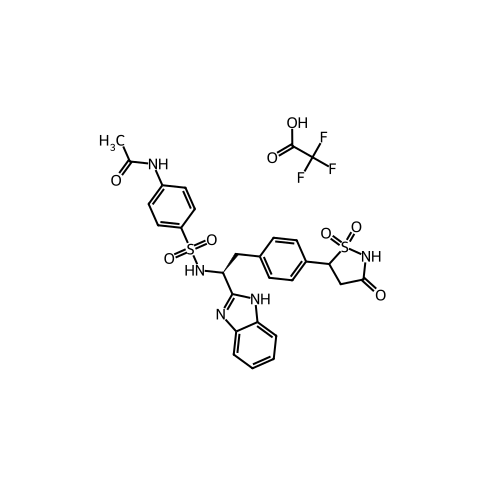 CC(=O)Nc1ccc(S(=O)(=O)N[C@@H](Cc2ccc(C3CC(=O)NS3(=O)=O)cc2)c2nc3ccccc3[nH]2)cc1.O=C(O)C(F)(F)F